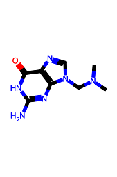 CN(C)Cn1cnc2c(=O)[nH]c(N)nc21